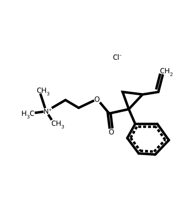 C=CC1CC1(C(=O)OCC[N+](C)(C)C)c1ccccc1.[Cl-]